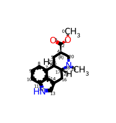 COC(=O)[C@@H]1C[C@@H]2c3cccc4[nH]cc(c34)C[C@H]2N(C)C1